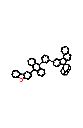 c1cc(-c2ccc3c(c2)-c2c(ccc4ccccc24)C32C3CC4CC(C3)CC2C4)cc(-c2c3ccccc3c(-c3ccc4oc5ccccc5c4c3)c3ccccc23)c1